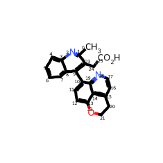 Cc1nc2ccccc2c(-c2ccc3c4c(ccnc24)CCO3)c1CC(=O)O